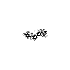 Cc1cc(C(C)Nc2cccc(-c3cc(C)c(C(=O)N(C)C4(C(=O)O)CC4)c(C)c3)c2)ccc1Cl